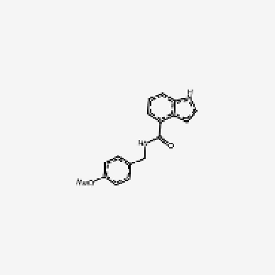 COc1ccc(CNC(=O)c2cccc3[nH]ccc23)cc1